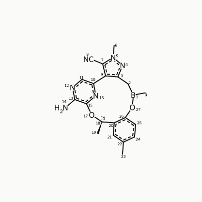 CB1Cc2nn(C)c(C#N)c2-c2cnc(N)c(n2)O[C@H](C)c2cc(C)ccc2O1